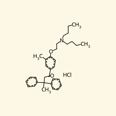 CCCCN(CCCC)CCOc1ccc(C(=O)CC(C)(c2ccccc2)c2ccccc2)cc1C.Cl